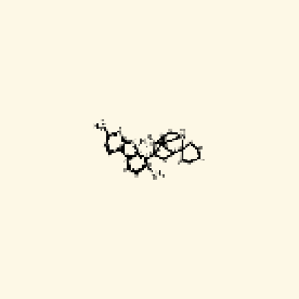 Cc1ccc2c(n1)oc1c(C34CC5CC(C3)C3(CCCCC3)N(C5)[C@@H]4C)c(C)ccc12